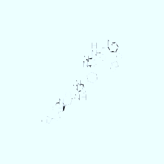 C/C=N\C(=C/COC1COC1)CC(=O)Nc1nnc([C@H]2CCC[C@H](c3nnc(NC(=O)Cc4cc(OC5COC5)ccn4)s3)C2)s1